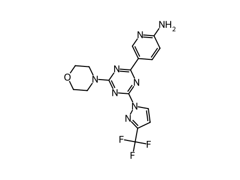 Nc1ccc(-c2nc(N3CCOCC3)nc(-n3ccc(C(F)(F)F)n3)n2)cn1